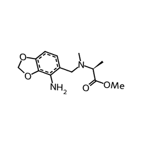 COC(=O)[C@H](C)N(C)Cc1ccc2c(c1N)OCO2